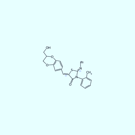 Cc1ccccc1N1C(=O)/C(=C/c2ccc3c(c2)OCC(CO)O3)S/C1=N\C(C)C